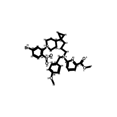 COC(=O)c1cccc(N(CCCC2(C3CCN(c4cc(Br)ccc4[N+](=O)[O-])CC3)CC2)Cc2ccc(OC)cc2)n1